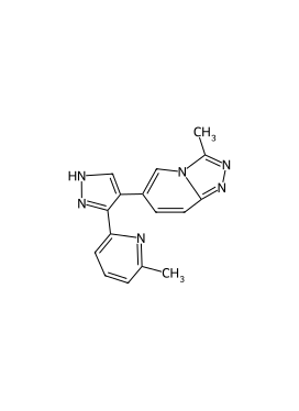 Cc1cccc(-c2n[nH]cc2-c2ccc3nnc(C)n3c2)n1